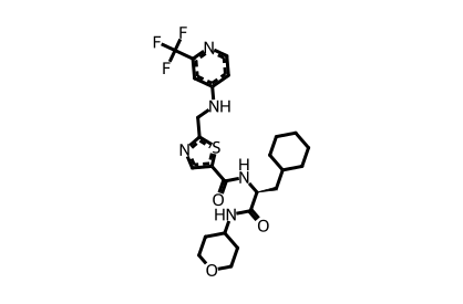 O=C(N[C@@H](CC1CCCCC1)C(=O)NC1CCOCC1)c1cnc(CNc2ccnc(C(F)(F)F)c2)s1